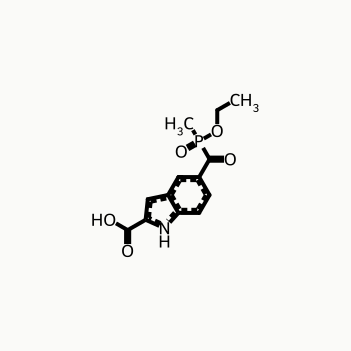 CCOP(C)(=O)C(=O)c1ccc2[nH]c(C(=O)O)cc2c1